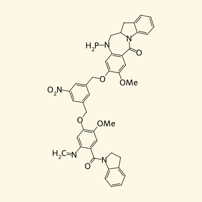 C=Nc1cc(OCc2cc(COc3cc4c(cc3OC)C(=O)N3c5ccccc5CC3CN4P)cc([N+](=O)[O-])c2)c(OC)cc1C(=O)N1CCc2ccccc21